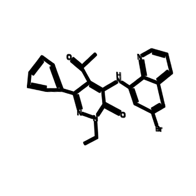 CCn1nc(-c2ccccc2)c(C(C)=O)c(Nc2cc(Br)cc3cccnc23)c1=O